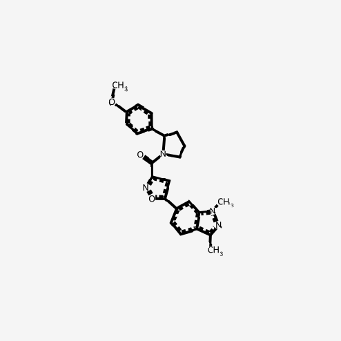 COc1ccc(C2CCCN2C(=O)c2cc(-c3ccc4c(C)nn(C)c4c3)on2)cc1